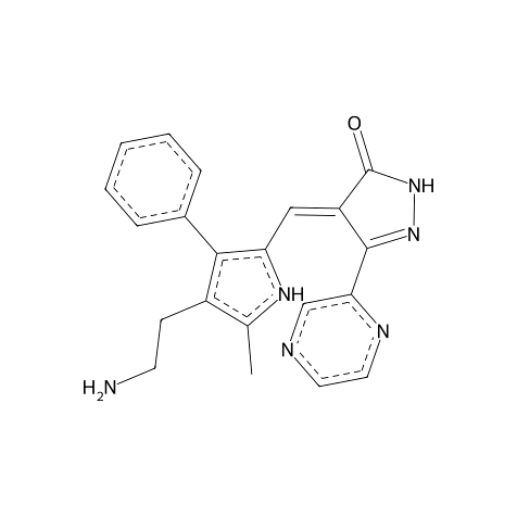 Cc1[nH]c(/C=C2/C(=O)NN=C2c2cnccn2)c(-c2ccccc2)c1CCN